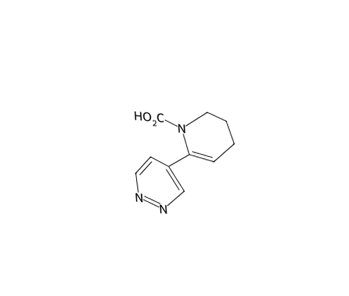 O=C(O)N1CCCC=C1c1ccnnc1